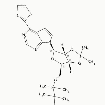 CC1(C)O[C@@H]2[C@H](O1)[C@@H](CO[Si](C)(C)C(C)(C)C)O[C@H]2n1ccc2c(-c3nccs3)ncnc21